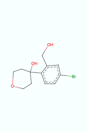 OCc1cc(Br)ccc1C1(O)CCOCC1